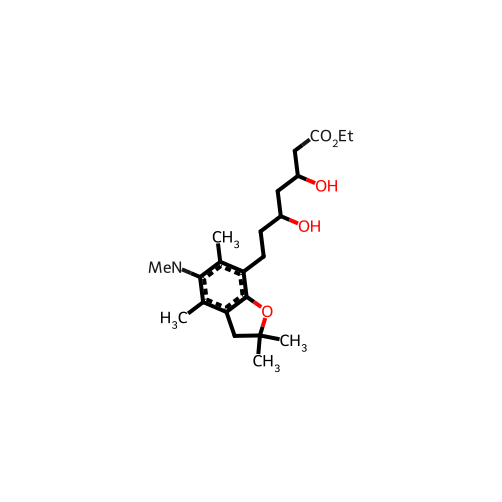 CCOC(=O)CC(O)CC(O)CCc1c(C)c(NC)c(C)c2c1OC(C)(C)C2